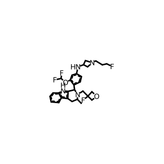 CC1Cc2c([nH]c3ccccc23)C(c2ccc(NC3CN(CCCF)C3)cc2OC(F)F)N1CC1(F)COC1